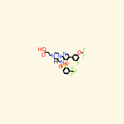 O=C(O)CCN1CCN2c3ncc(-c4cc(F)cc(OC(F)F)c4)cc3N(S(=O)(=O)c3cccc(C(F)(F)F)c3)C[C@@H]2C1